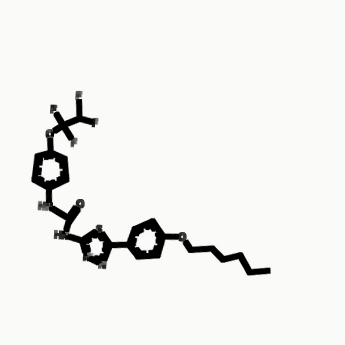 CCCCCCOc1ccc(-c2nnc(NC(=O)Nc3ccc(OC(F)(F)C(F)F)cc3)s2)cc1